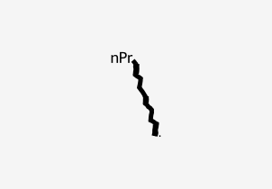 [CH]=CCCC=CCCC=CCCC